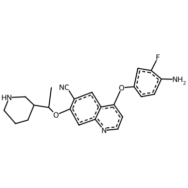 CC(Oc1cc2nccc(Oc3ccc(N)c(F)c3)c2cc1C#N)C1CCCNC1